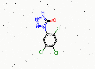 O=c1[nH]nnn1-c1cc(Cl)c(Cl)cc1Cl